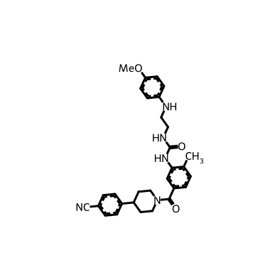 COc1ccc(NCCNC(=O)Nc2cc(C(=O)N3CCC(c4ccc(C#N)cc4)CC3)ccc2C)cc1